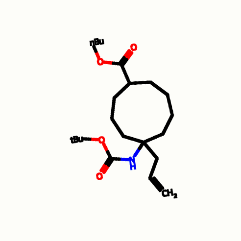 C=CCC1(NC(=O)OC(C)(C)C)CCCCC(C(=O)OCCCC)CCC1